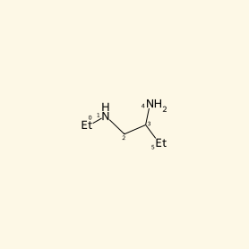 CCNCC(N)CC